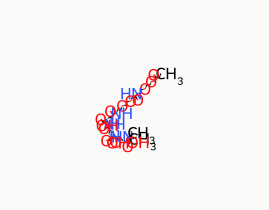 CCC(=O)COCCOCCNC(=O)COCCOCCNC(=O)CC[C@H](NC(=O)CC[C@H](NC(=O)CC[C@H](NC(C)C)C(=O)O)C(=O)O)C(=O)O